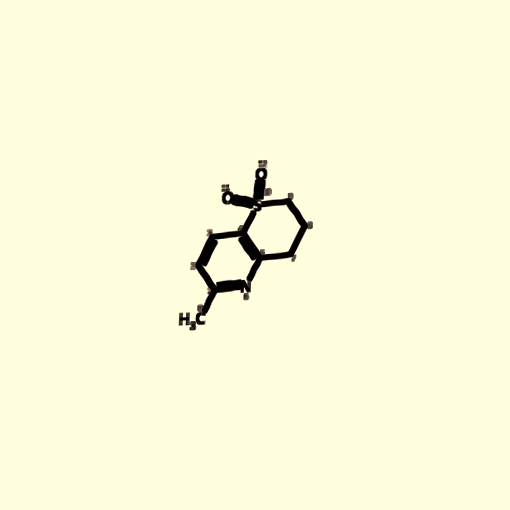 Cc1ccc2c(n1)CCCS2(=O)=O